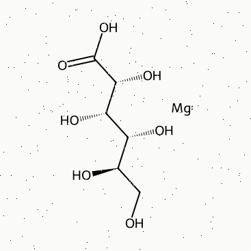 O=C(O)[C@H](O)[C@@H](O)[C@H](O)[C@H](O)CO.[Mg]